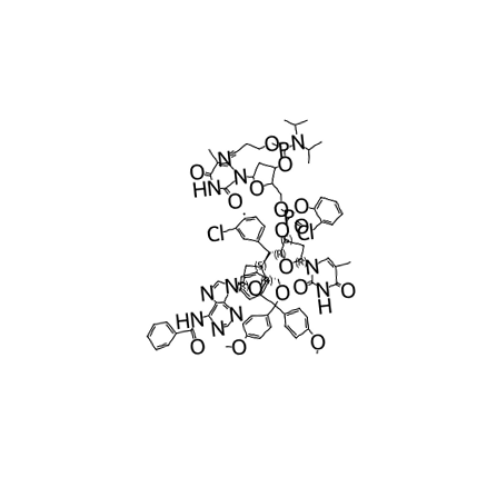 COc1ccc(C(OC[C@@H]2O[C@@H](n3cnc4c(NC(=O)c5ccccc5)ncnc43)C[C@H]2C(c2cc[c]c(Cl)c2)[C@H]2O[C@@H](n3cc(C)c(=O)[nH]c3=O)C[C@@H]2OP(=O)(OCC2OC(n3cc(C)c(=O)[nH]c3=O)CC2OP(OCCC#N)N(C(C)C)C(C)C)Oc2ccccc2Cl)(c2ccccc2)c2ccc(OC)cc2)cc1